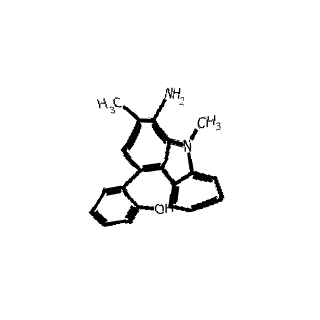 Cc1cc(-c2ccccc2O)c2c3ccccc3n(C)c2c1N